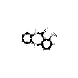 O=C1Nc2ccccc2Oc2cccc([N+](=O)[O-])c21